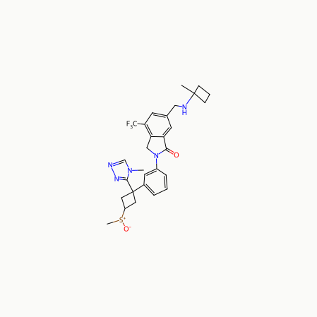 Cn1cnnc1C1(c2cccc(N3Cc4c(cc(CNC5(C)CCC5)cc4C(F)(F)F)C3=O)c2)CC([S+](C)[O-])C1